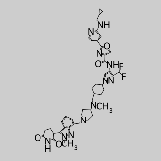 CN(CC1CCC(n2cc(NC(=O)c3coc(-c4ccnc(NCC5CC5)c4)n3)c(C(F)F)n2)CC1)C1CCN(Cc2cccc3c(C4CCC(=O)NC4=O)n(C)nc23)CC1